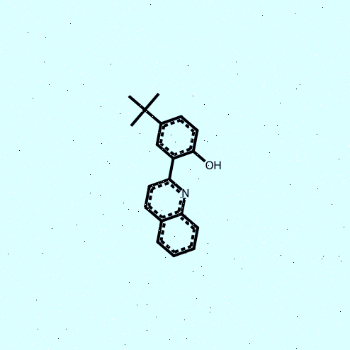 CC(C)(C)c1ccc(O)c(-c2ccc3ccccc3n2)c1